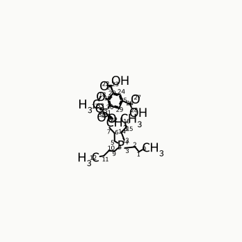 CCCC[P+](CCCC)(CCCC)CCCC.COc1c(C(=O)O)cc(C(=O)O)cc1S(=O)(=O)[O-]